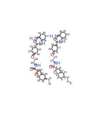 CCCc1ccc2oc(C(=O)NCCOc3ccc(C(=O)Nc4ccccc4N)cc3)cc2c1.CCc1ccc2oc(C(=O)NCCOc3ccc(C(=O)Nc4ccccc4N)cc3)cc2c1